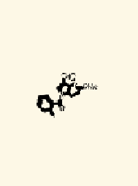 COc1ccc2c(n1)c(C=O)cn2C(=O)c1ccccc1I